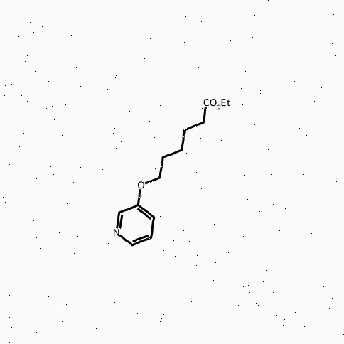 CCOC(=O)CCCCCOc1cccnc1